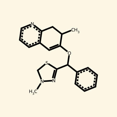 CC1Cc2ncccc2C=C1OC(C1=NN(C)CS1)c1ccccc1